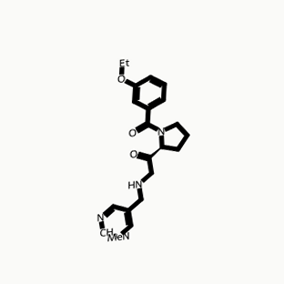 CCOc1cccc(C(=O)N2CCC[C@H]2C(=O)CNCC(/C=N\C)=C/NC)c1